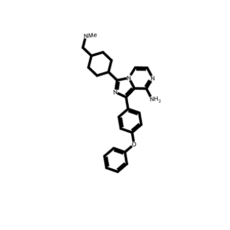 CNCC1CCC(c2nc(-c3ccc(Oc4ccccc4)cc3)c3c(N)nccn23)CC1